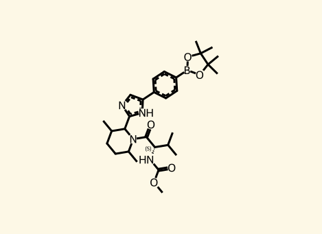 COC(=O)N[C@H](C(=O)N1C(C)CCC(C)C1c1ncc(-c2ccc(B3OC(C)(C)C(C)(C)O3)cc2)[nH]1)C(C)C